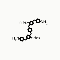 CCCCCCc1cc(Cc2ccc(N)cc2)ccc1Cc1ccc(Cc2ccc(Cc3ccc(N)cc3)cc2CCCCCC)cc1